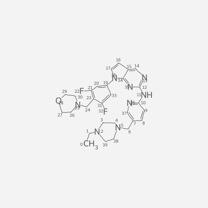 CCN1CCN(Cc2ccc(Nc3ncc4ccn(-c5cc(F)c(CN6CCOCC6)c(F)c5)c4n3)nc2)CC1